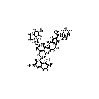 CCc1c(F)ccc2cc(O)cc(N3CCc4c(nc(OC[C@@]56CCCN5C[C@H](F)C6)nc4N4CCCn5nc(C(=O)N6CCN7CCC6C7)cc5C4)C3)c12